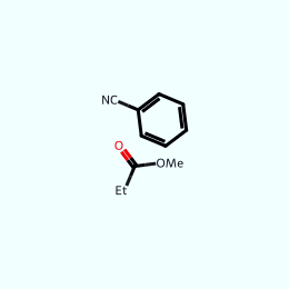 CCC(=O)OC.N#Cc1ccccc1